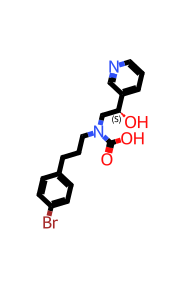 O=C(O)N(CCCc1ccc(Br)cc1)C[C@@H](O)c1cccnc1